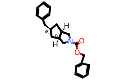 O=C(OCc1ccccc1)N1C[C@H]2C[C@@H](Cc3ccccc3)C[C@H]2C1